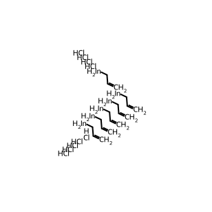 C=C[CH2][InH2].C=C[CH2][InH2].C=C[CH2][InH2].C=C[CH2][InH2].C=C[CH2][InH2].C=C[CH2][InH2].Cl.Cl.Cl.Cl.Cl.Cl.Cl.Cl.Cl